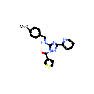 COc1ccc(CNc2nc(-c3ccccn3)nn2C(=O)c2ccsc2)cc1